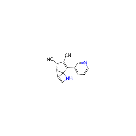 N#CC1=C2C3=CNC32C(c2cccnc2)=C1C#N